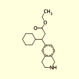 CCOC(=O)CC(c1ccc2c(c1)CCNC2)C1CCCCC1